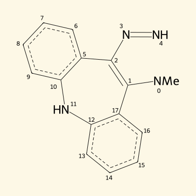 CNC1=C(N=N)c2ccccc2Nc2ccccc21